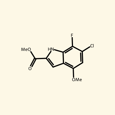 COC(=O)c1cc2c(OC)cc(Cl)c(F)c2[nH]1